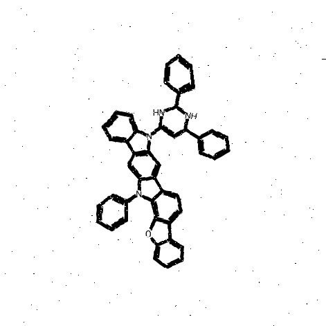 C1=C(n2c3ccccc3c3cc4c(cc32)c2ccc3c5ccccc5oc3c2n4-c2ccccc2)NC(c2ccccc2)NC1c1ccccc1